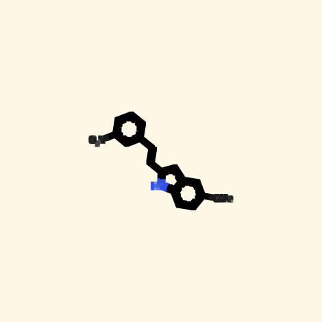 COc1ccc2[nH]c(C=Cc3cccc([N+](=O)[O-])c3)cc2c1